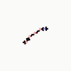 CC(C)(C)OC1CC(OCCCOCCCOC2CN(C(C)(C)C)C2)C1